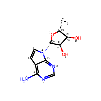 C[C@H]1O[C@@H](n2ccc3c(N)ncnc32)[C@H](O)[C@@H]1O